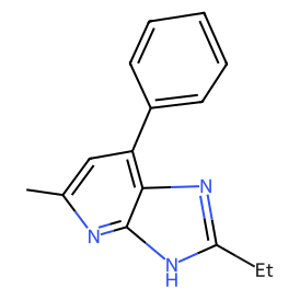 CCc1nc2c(-c3ccccc3)cc(C)nc2[nH]1